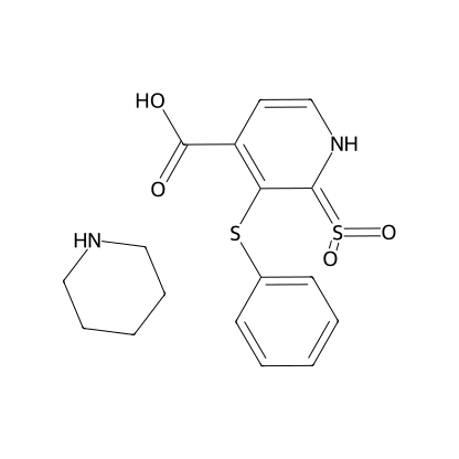 C1CCNCC1.O=C(O)c1cc[nH]c(=S(=O)=O)c1Sc1ccccc1